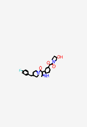 Cc1[nH]c2ccc(C(=O)C(=O)N3CC[C@H](O)C3)cc2c1C(=O)N1CCC(Cc2ccc(F)cc2)CC1